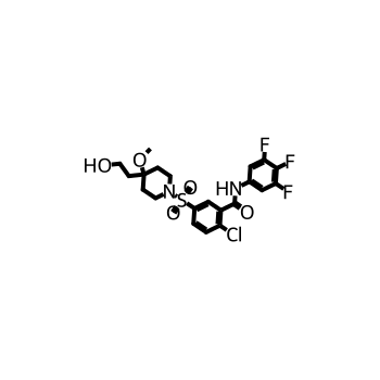 COC1(CCO)CCN(S(=O)(=O)c2ccc(Cl)c(C(=O)Nc3cc(F)c(F)c(F)c3)c2)CC1